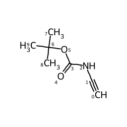 C#CNC(=O)OC(C)(C)C